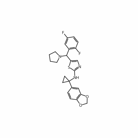 Fc1ccc(F)c(C(c2cnc(NC3(c4ccc5c(c4)OCO5)CC3)s2)N2CCCC2)c1